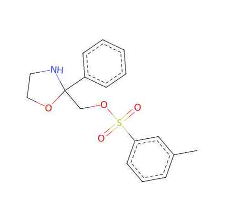 Cc1cccc(S(=O)(=O)OCC2(c3ccccc3)NCCO2)c1